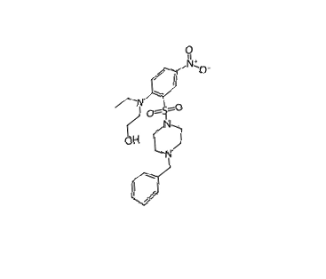 CCN(CCO)c1ccc([N+](=O)[O-])cc1S(=O)(=O)N1CCN(Cc2ccccc2)CC1